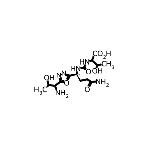 CC(O)C(NC(=O)N[C@@H](CCC(N)=O)c1nnc(C(N)C(C)O)o1)C(=O)O